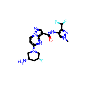 Cn1cc(NC(=O)c2cnn3ccc(N4C[C@@H](N)C[C@H](F)C4)nc23)c(C(F)F)n1